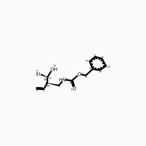 C=C[C@H](CNC(=O)OCc1ccccc1)[C@H](O)CC